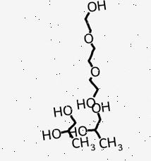 CC(O)CO.CC(O)CO.OCCOCCOCCO